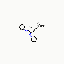 CCCCCCCCCCC/C=C/C(=N\c1ccccc1)C(/CC)=N/c1ccccc1.[Pd]